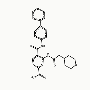 NC(=O)c1ccc(C(=O)Nc2ccc(-c3ccccc3)cc2)c(NC(=O)CN2CCOCC2)c1